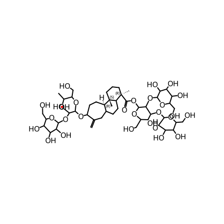 C=C1CC2CCC3[C@](C)(C(=O)OC4OC(CO)C(O)C(OC5OC(CO)C(O)C(O)C5O)C4OC4OC(CO)C(O)C(O)C4O)CCC[C@@]3(C)[C@@H]2CCC1OC(OC(CO)C(C)O)C(O)OC1OC(CO)C(O)C(O)C1O